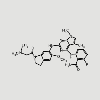 COc1cc2c(cc1Nc1nc(Nc3cccc(F)c3C(N)=O)c3c(C)cn(C)c3n1)N(C(=O)CN(C)C)CC2